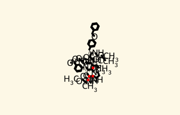 CC[C@H](C)[C@H](NC(=O)[C@H](Cc1ccc(OCc2ccccc2)cc1)NC(=O)OC(C)(C)C)C(=O)N(c1cccc([N+](=O)[O-])c1[N+](=O)[O-])[C@@H](Cc1c[nH]cn1)C(=O)N1CCC[C@H]1C(=O)N[C@@H](C)C(=O)OC